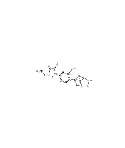 NC[C@H]1CN(c2ccc(N3CC4CCC(C3)O4)c(F)c2)C(=O)O1